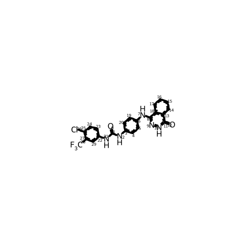 O=C(Nc1ccc(Nc2n[nH]c(=O)c3ccccc23)cc1)Nc1ccc(Cl)c(C(F)(F)F)c1